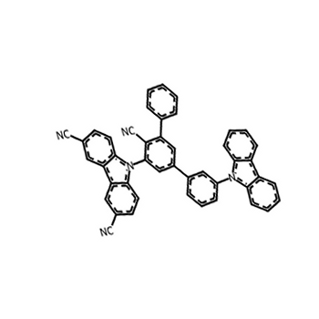 N#Cc1ccc2c(c1)c1cc(C#N)ccc1n2-c1cc(-c2cccc(-n3c4ccccc4c4ccccc43)c2)cc(-c2ccccc2)c1C#N